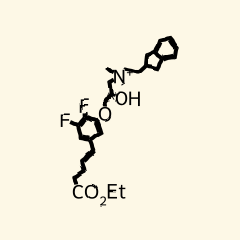 CCOC(=O)CCC=Cc1cc(F)c(F)c(OC[C@H](O)C[N+](C)(C)CCC2Cc3ccccc3C2)c1